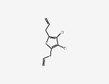 C=CCc1sc(CC=C)c(Cl)c1Cl